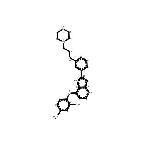 Nc1ccc(Oc2ccnc3cc(-c4cccc(OCCN5CCOCC5)c4)sc23)c(F)c1